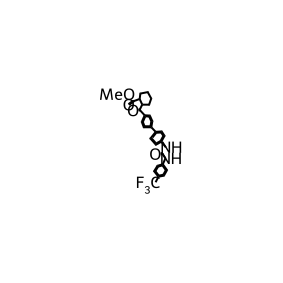 COC(=O)C1CCCCC1C(=O)c1ccc(-c2ccc(NC(=O)Nc3ccc(C(F)(F)F)cc3)cc2)cc1